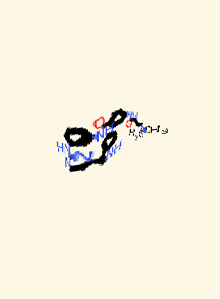 CN(C)CCCC(=O)Nc1ccc(C(=O)Nc2cccc(Nc3nccc(-c4c[nH]c5ccccc45)n3)c2)cc1